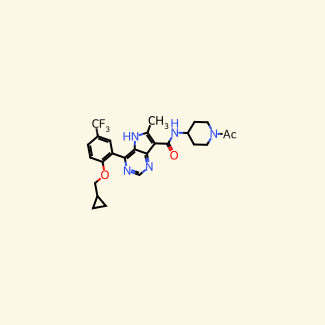 CC(=O)N1CCC(NC(=O)c2c(C)[nH]c3c(-c4cc(C(F)(F)F)ccc4OCC4CC4)ncnc23)CC1